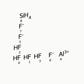 F.F.F.F.[Al+3].[F-].[F-].[F-].[SiH4]